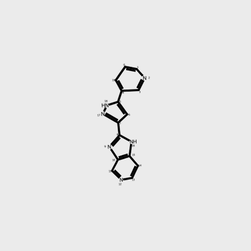 c1cncc(-c2cc(-c3nc4cnccc4[nH]3)n[nH]2)c1